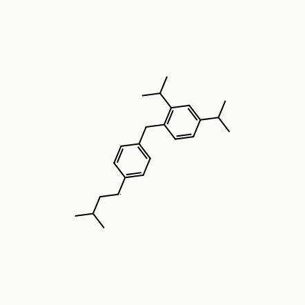 CC(C)C[CH]c1ccc(Cc2ccc(C(C)C)cc2C(C)C)cc1